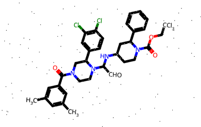 Cc1cc(C)cc(C(=O)N2CCN(C(C=O)NC3CCN(C(=O)OCC(Cl)(Cl)Cl)C(c4ccccc4)C3)C(c3ccc(Cl)c(Cl)c3)C2)c1